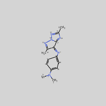 CCN(C)c1ccc(/N=C2\C(C)=Nn3nc(C)nc32)cc1